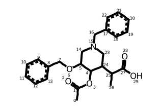 CC(=O)OC1C(OCc2ccccc2)CN(Cc2ccccc2)CC1C(C)C(=O)O